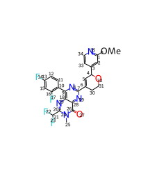 COc1cc(C2C=C(c3nc(-c4ccc(F)cc4F)c4nc(C(F)F)n(C)c(=O)c4n3)CCO2)ccn1